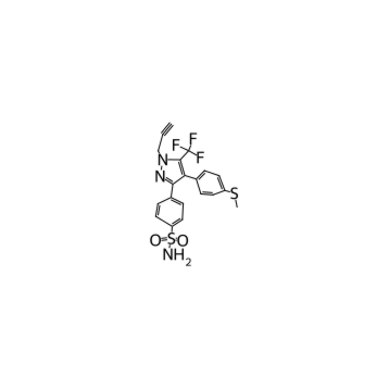 C#CCn1nc(-c2ccc(S(N)(=O)=O)cc2)c(-c2ccc(SC)cc2)c1C(F)(F)F